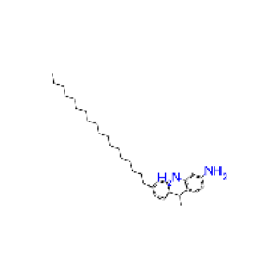 CCCCCCCCCCCCCCCCCCc1ccc(C(C)c2ccc(N)cc2N)cc1